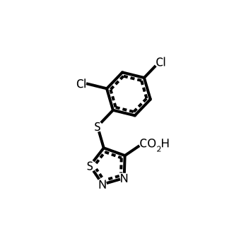 O=C(O)c1nnsc1Sc1ccc(Cl)cc1Cl